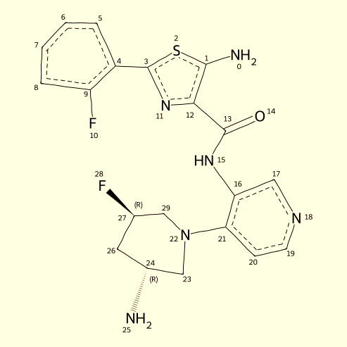 Nc1sc(-c2ccccc2F)nc1C(=O)Nc1cnccc1N1C[C@H](N)C[C@@H](F)C1